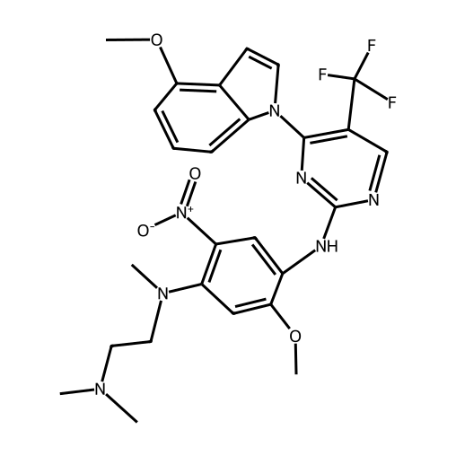 COc1cc(N(C)CCN(C)C)c([N+](=O)[O-])cc1Nc1ncc(C(F)(F)F)c(-n2ccc3c(OC)cccc32)n1